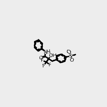 CS(=O)(=O)c1ccc(CC(O)(C(=O)Nc2ccccc2)C(F)(F)F)cc1